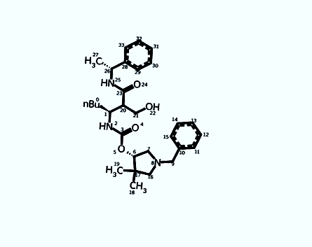 CCCC[C@H](NC(=O)O[C@@H]1CN(Cc2ccccc2)CC1(C)C)C(CO)C(=O)N[C@H](C)c1ccccc1